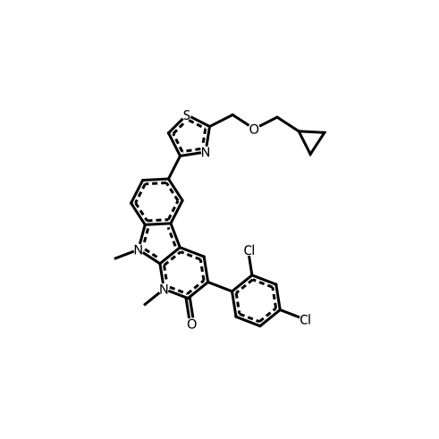 Cn1c(=O)c(-c2ccc(Cl)cc2Cl)cc2c3cc(-c4csc(COCC5CC5)n4)ccc3n(C)c21